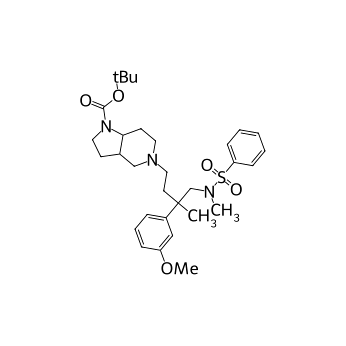 COc1cccc(C(C)(CCN2CCC3C(CCN3C(=O)OC(C)(C)C)C2)CN(C)S(=O)(=O)c2ccccc2)c1